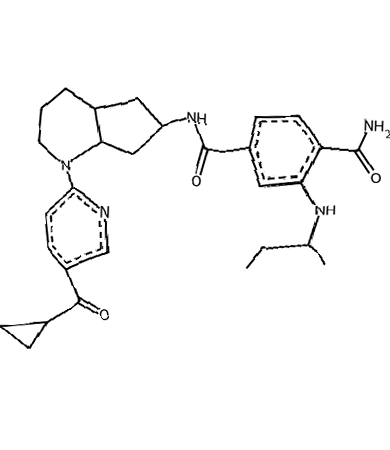 CCC(C)Nc1cc(C(=O)NC2CC3CCCN(c4ccc(C(=O)C5CC5)cn4)C3C2)ccc1C(N)=O